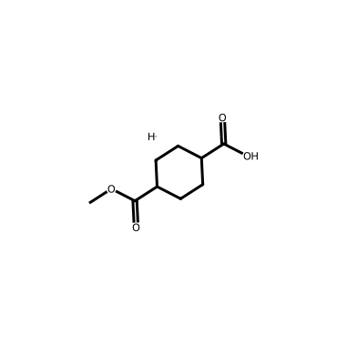 COC(=O)C1CCC(C(=O)O)CC1.[H]